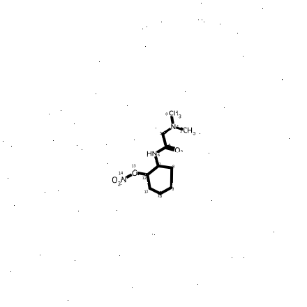 CN(C)CC(=O)NC1CCCCC1O[N+](=O)[O-]